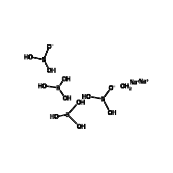 O.OB(O)O.OB(O)O.[Na+].[Na+].[O-]B(O)O.[O-]B(O)O